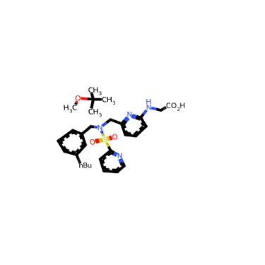 CCCCc1cccc(CN(Cc2cccc(NCC(=O)O)n2)S(=O)(=O)c2ccccn2)c1.COC(C)(C)C